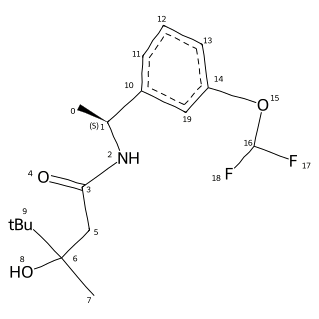 C[C@H](NC(=O)CC(C)(O)C(C)(C)C)c1cccc(OC(F)F)c1